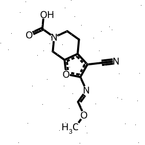 CO/C=N/c1oc2c(c1C#N)CCN(C(=O)O)C2